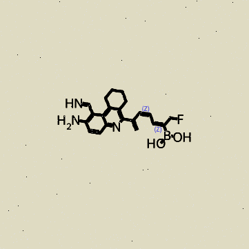 C=C(/C=C\C=C(/CF)B(O)O)c1nc2ccc(N)c(C=N)c2c2c1CCCC2